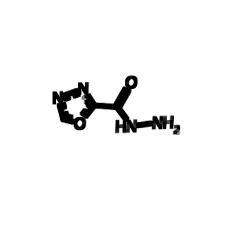 NNC(=O)c1nnco1